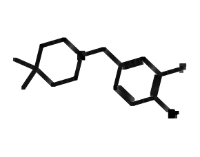 CC1(C)CCN(Cc2ccc(Br)c(F)c2)CC1